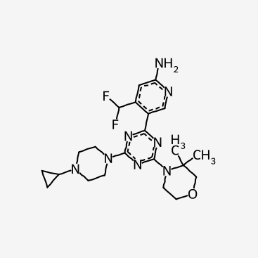 CC1(C)COCCN1c1nc(-c2cnc(N)cc2C(F)F)nc(N2CCN(C3CC3)CC2)n1